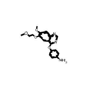 COCCOc1cc2c(Oc3ccc(N)cc3)ncnc2cc1OC